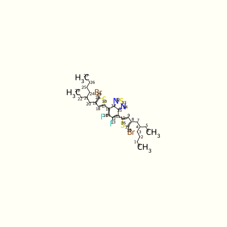 CCCCC(CC)Cc1cc(-c2c(F)c(F)c(-c3cc(CC(CC)CCCC)c(Br)s3)c3nsnc23)sc1Br